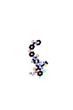 COC(=O)C1=C(CN2CCN3C(=O)N(c4ccc(Oc5ccc(C(=O)N6CCCCC6)cc5)cc4)C[C@@H]3C2)NC(c2nccs2)=N[C@H]1c1ccc(F)cc1Cl